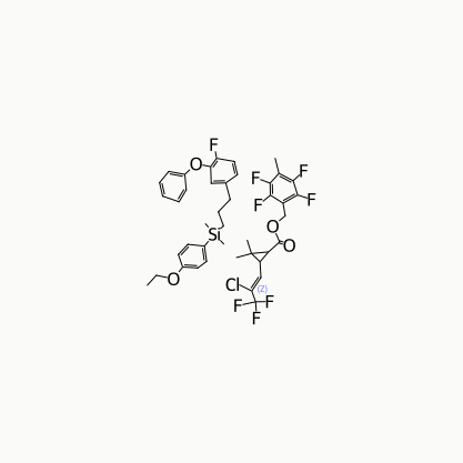 CCOc1ccc([Si](C)(C)CCCc2ccc(F)c(Oc3ccccc3)c2)cc1.Cc1c(F)c(F)c(COC(=O)C2C(/C=C(\Cl)C(F)(F)F)C2(C)C)c(F)c1F